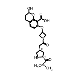 CN(C)C(=O)[C@@H]1C[C@H](CC(=O)N2CC(Oc3ccc4c(c3C(=O)O)OB(O)CC4)C2)CN1